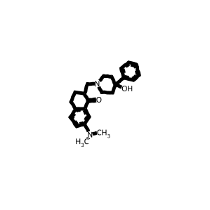 CN(C)c1ccc2c(c1)C(=O)C(CN1CCC(O)(c3ccccc3)CC1)CC2